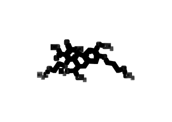 COCCCOc1cc2c(cc1OC)-c1[nH]c(=O)c(C(=O)O)c(OCCOC)c1C(C(C)C)C2